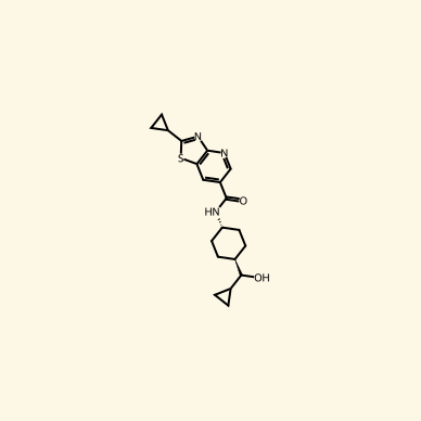 O=C(N[C@H]1CC[C@H](C(O)C2CC2)CC1)c1cnc2nc(C3CC3)sc2c1